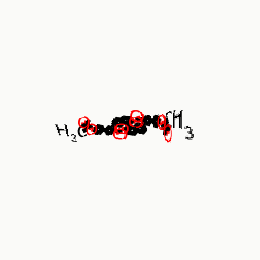 CCC1(COc2ccc(-c3ccc(C(=O)Oc4ccc5ccccc5c4-c4c(OC(=O)c5ccc(-c6ccc(OCC7(CC)COC7)cc6)cc5)ccc5ccccc45)cc3)cc2)COC1